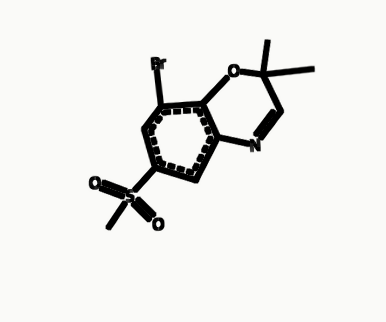 CC1(C)C=Nc2cc(S(C)(=O)=O)cc(Br)c2O1